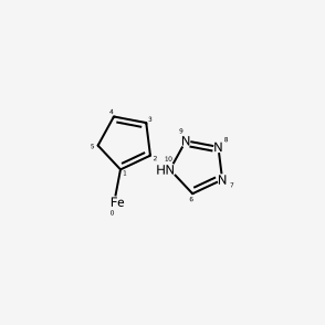 [Fe][C]1=CC=CC1.c1nnn[nH]1